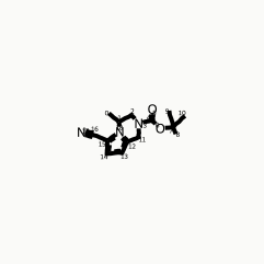 CC1CN(C(=O)OC(C)(C)C)Cc2ccc(C#N)n21